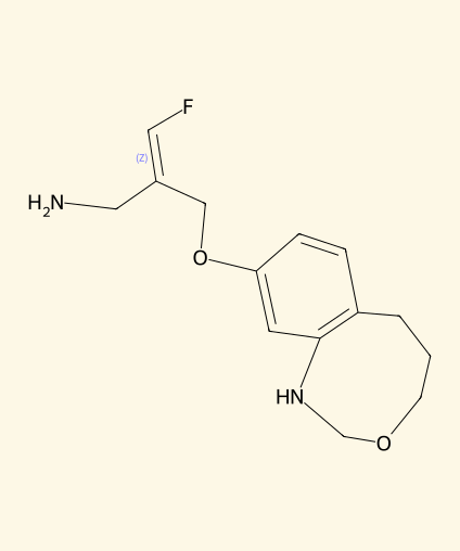 NC/C(=C/F)COc1ccc2c(c1)NCOCCC2